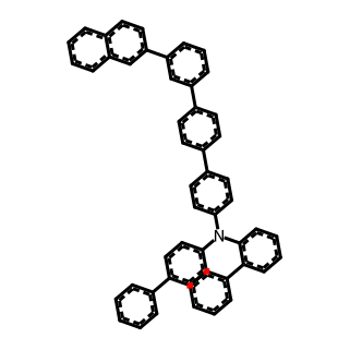 c1ccc(-c2ccc(N(c3ccc(-c4ccc(-c5cccc(-c6ccc7ccccc7c6)c5)cc4)cc3)c3ccccc3-c3ccccc3)cc2)cc1